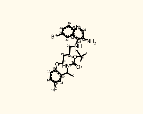 CC(NC(=O)OC(C)(C)C)c1cc(F)ccc1OCCCCNc1c(N)cnc2ccc(Br)cc12